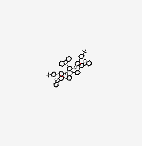 CC(C)(C)c1ccc(-c2ccc(N3c4cc(-n5c6ccccc6c6ccccc65)cc5c4B(c4cccc(-c6ccc7oc8ccccc8c7c6)c43)c3cccc(-c4ccc6oc7ccccc7c6c4)c3N5c3ccc(-c4ccc(C(C)(C)C)cc4)cc3)cc2)cc1